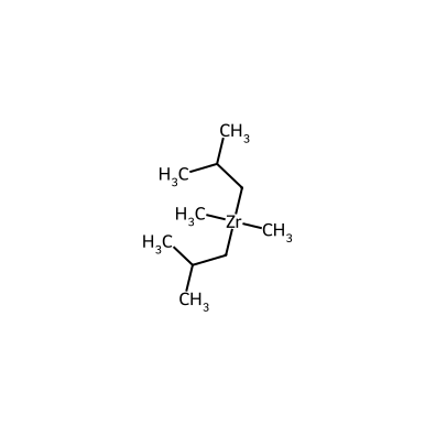 CC(C)[CH2][Zr]([CH3])([CH3])[CH2]C(C)C